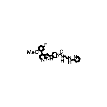 COc1ccc(F)cc1-c1ccnc2[nH]c(C3=CCN(C(=O)NCCNCc4ccccn4)CC3)cc12